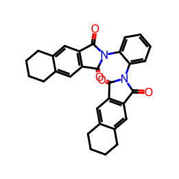 O=C1c2cc3c(cc2C(=O)N1c1ccccc1N1C(=O)c2cc4c(cc2C1=O)CCCC4)CCCC3